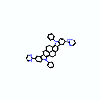 C1=CN=C(C2C=Cc3c(c4cc5c6c(c4n3-c3ccccc3)CCc3cc4c7cc(-c8ncccn8)ccc7n(-c7ccccc7)c4c(c3-6)CC5)C2)NC1